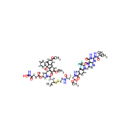 COC(=O)[C@H](CCC(=O)NCCSSC(C)CCC(=O)N1C[C@H](OC(=O)CCC(=O)NO)C[C@H]1COC(c1ccccc1)(c1ccc(OC)cc1)c1ccc(OC)cc1)NC(=O)c1ccc(N(Cc2cnc3nc(NC(=O)C(C)C)[nH]c(=O)c3n2)C(=O)C(F)(F)F)cc1